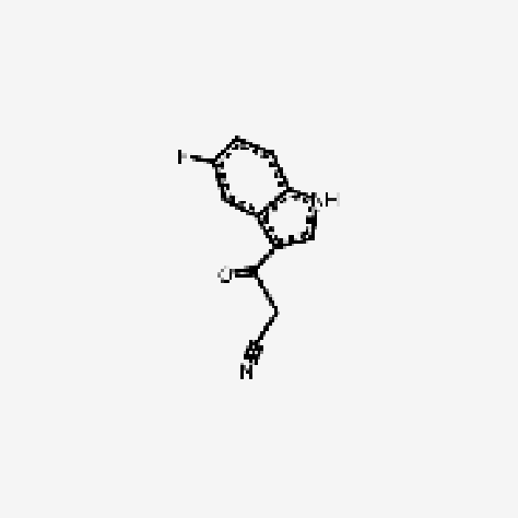 N#CCC(=O)c1c[nH]c2ccc(F)cc12